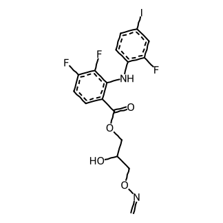 C=NOCC(O)COC(=O)c1ccc(F)c(F)c1Nc1ccc(I)cc1F